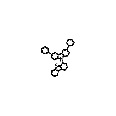 c1ccc(-c2ccc3c(c2)c2cc(-c4ccccc4)ccc2n3-c2cccc3c2sc2ccccc23)cc1